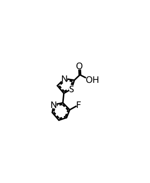 O=C(O)c1ncc(-c2ncccc2F)s1